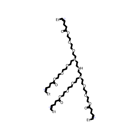 CC/C=C\CCC(=O)OCCOCCOCCN(CCNCCN(CCOCCOCCOC(=O)CC/C=C\CC)CCOCCOCCOC(=O)CC/C=C\CC)CCOCCOCCOC(=O)CC/C=C\CC